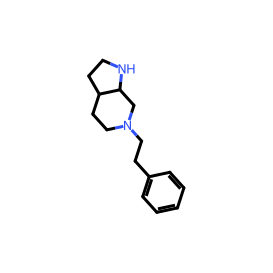 c1ccc(CCN2CCC3CCNC3C2)cc1